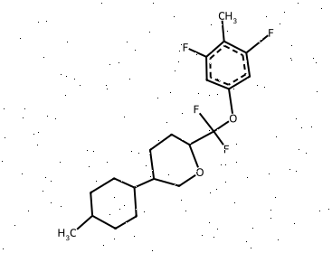 Cc1c(F)cc(OC(F)(F)C2CCC(C3CCC(C)CC3)CO2)cc1F